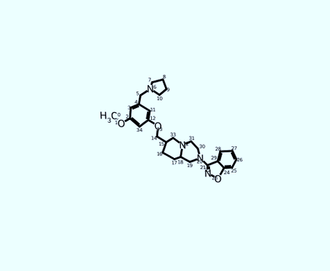 COc1cc(CN2CCCC2)cc(OCC2CCC3CN(c4noc5ccccc45)CCN3C2)c1